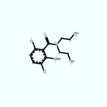 COc1c(Cl)ccc(Cl)c1C(=O)N(CCO)CCO